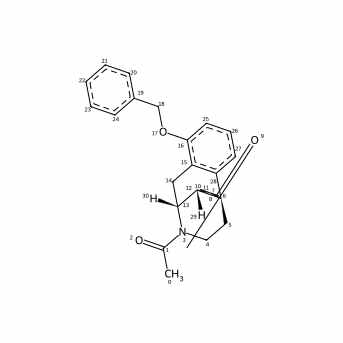 CC(=O)N1CC[C@]23CC(=O)CC[C@H]2[C@H]1Cc1c(OCc2ccccc2)cccc13